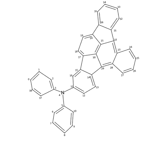 c1ccc(N(c2ccccc2)c2ccc3c(c2)-c2ccc4c5c(c6ccccc6c-3c25)-c2ccccc2-4)cc1